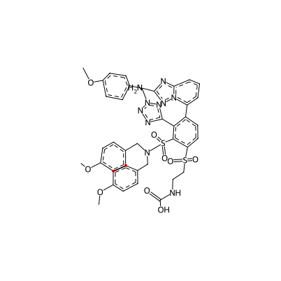 COc1ccc(CN(Cc2ccc(OC)cc2)S(=O)(=O)c2c(S(=O)(=O)CCNC(=O)O)ccc(-c3cccc4nc(N)nn34)c2-c2nnn(Cc3ccc(OC)cc3)n2)cc1